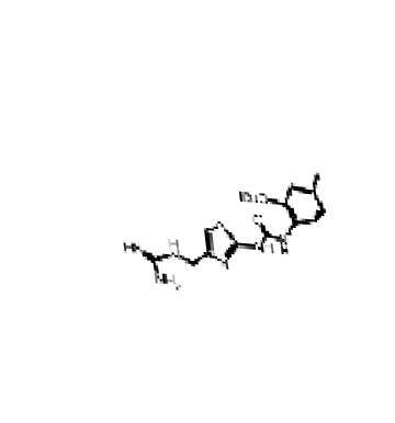 Cc1ccc(NC(=O)Nc2nc(CNC(=N)N)cs2)c(OCC(C)C)c1